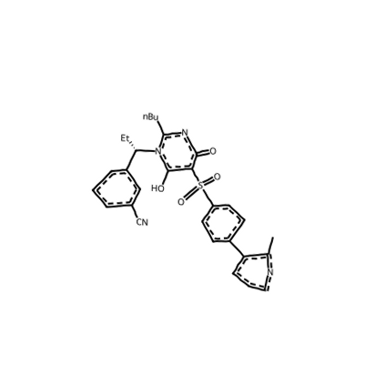 CCCCc1nc(=O)c(S(=O)(=O)c2ccc(-c3cccnc3C)cc2)c(O)n1[C@@H](CC)c1cccc(C#N)c1